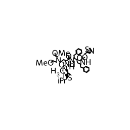 COCCN(CCOC)CCC(NC(=O)N(C)Cc1csc(C(C)C)n1)C(=O)NC(CCC(Cc1ccccc1)NC(=O)OCc1cncs1)Cc1ccccc1